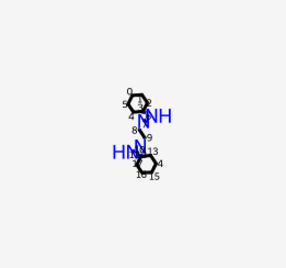 C1CCC2(CC1)NN2CCN1NC12CCCCC2